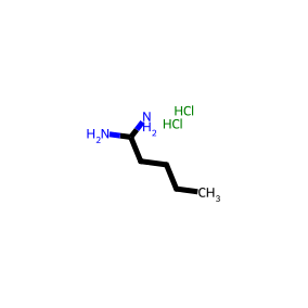 CCCCC(N)N.Cl.Cl